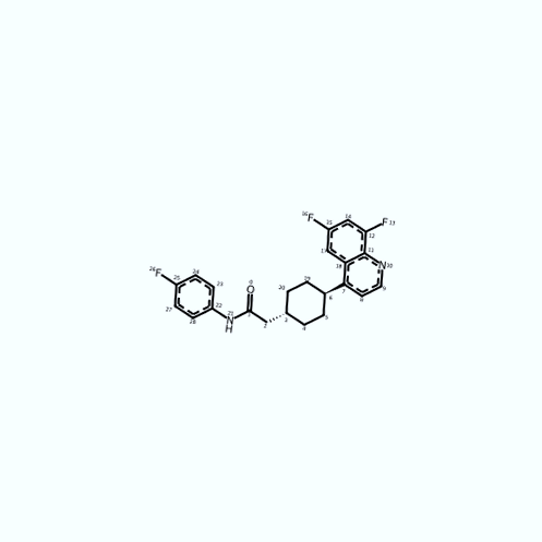 O=C(C[C@H]1CC[C@H](c2ccnc3c(F)cc(F)cc32)CC1)Nc1ccc(F)cc1